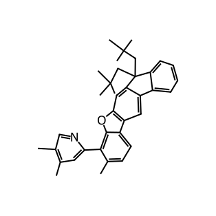 Cc1cnc(-c2c(C)ccc3c2oc2cc4c(cc23)-c2ccccc2C4(CC(C)(C)C)CC(C)(C)C)cc1C